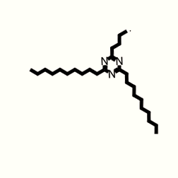 [CH2]CCCc1nc(CCCCCCCCCC)nc(CCCCCCCCCC)n1